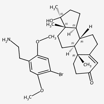 COc1cc(CCN)c(OC)cc1Br.C[C@]12CCC(=O)C=C1CC[C@@H]1[C@@H]2CC[C@@]2(C)[C@H]1CC[C@]2(C)O